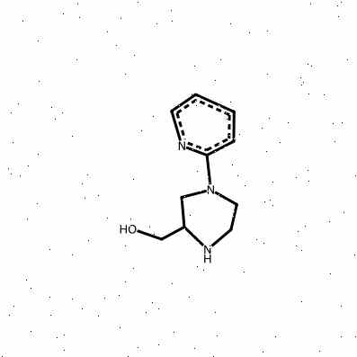 OCC1CN(c2cc[c]cn2)CCN1